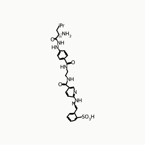 CC(C)C[C@H](N)C(=O)NNc1ccc(C(=O)NCCNC(=O)c2ccc(NN=Cc3ccccc3S(=O)(=O)O)nc2)cc1